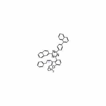 C=Cc1oc2cccc(-c3nc(-c4ccc(-c5cccc6ccccc56)cc4)nc(-c4ccc5ccccc5c4)n3)c2c1/C=C\Cc1ccccc1